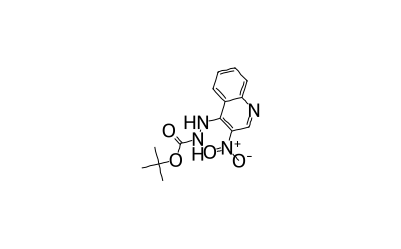 CC(C)(C)OC(=O)NNc1c([N+](=O)[O-])cnc2ccccc12